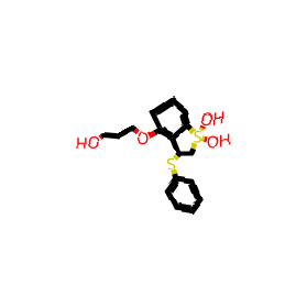 OCCCOc1cccc2c1C(Sc1ccccc1)CS2(O)O